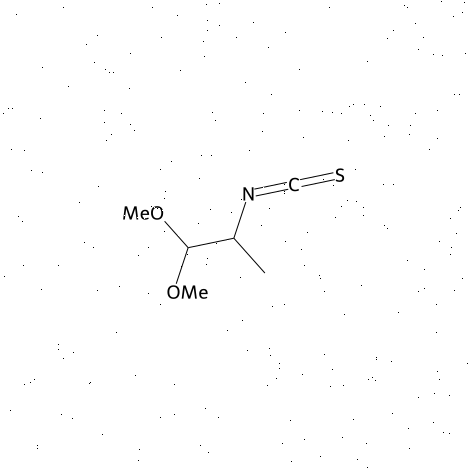 COC(OC)C(C)N=C=S